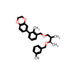 Cc1c(COCC(C)[C@@H](C)OCc2cccc(C#N)c2)cccc1-c1ccc2c(c1)OCCO2